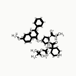 CNC(=O)[C@@H]1C[C@@H](Oc2cc(-c3ccccc3)nc3cc(OC)ccc23)CN1C(=O)C1(NC(=O)OC(C)(C)C)CCNCC1